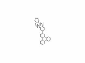 c1ccc2c(c1)ccn1c3cc(-c4ccc5c6ccccc6c6ccccc6c5c4)ccc3nc21